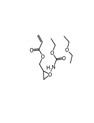 C=CC(=O)OCC1CO1.CCOC(N)=O.CCOCC